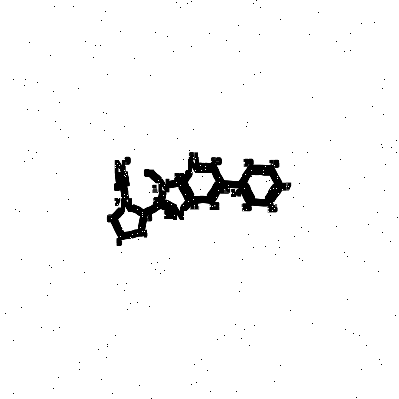 Cn1c(C2CCCN2C#N)nc2cc(-c3ccccc3)cnc21